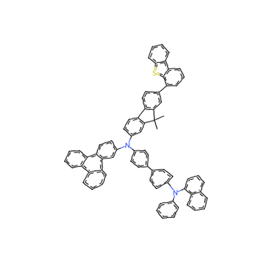 CC1(C)c2cc(-c3cccc4c3sc3ccccc34)ccc2-c2ccc(N(c3ccc(-c4ccc(N(c5ccccc5)c5cccc6ccccc56)cc4)cc3)c3ccc4c5ccccc5c5ccccc5c4c3)cc21